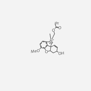 COc1ccc2c3c1OC1CC(O)C=CC31CCC[N+](C)(COC(=O)C(C)C)C2